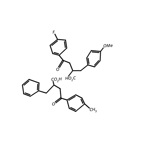 COc1ccc(CC(CC(=O)c2ccc(F)cc2)C(=O)O)cc1.Cc1ccc(C(=O)CC(Cc2ccccc2)C(=O)O)cc1